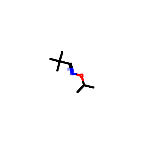 CC(C)O/N=[C]/C(C)(C)C